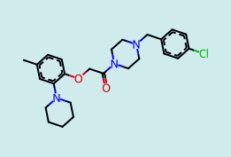 Cc1ccc(OCC(=O)N2CCN(Cc3ccc(Cl)cc3)CC2)c(N2CCCCC2)c1